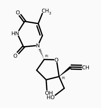 C#C[C@]1(CO)O[C@@H](n2cc(C)c(=O)[nH]c2=O)CC1O